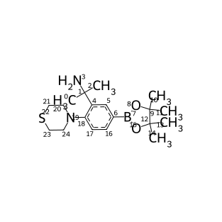 CC(C)(N)c1cc(B2OC(C)(C)C(C)(C)O2)ccc1N1CCSCC1